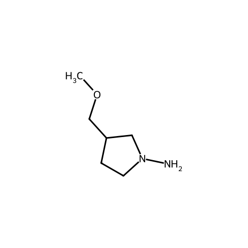 COCC1CCN(N)C1